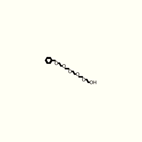 OCCOCCOCCOCCOCCO[CH]c1ccccc1